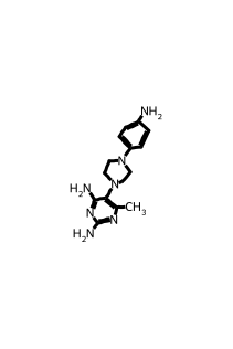 Cc1nc(N)nc(N)c1N1CCN(c2ccc(N)cc2)CC1